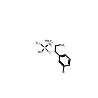 C[C@@H](C(=O)O)[C@@H](O[Si](C)(C)C(C)(C)C)c1cccc(Br)c1